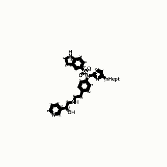 CCCCCCCc1csc(N(c2ccc(CCNCC(O)c3cccnc3)cc2)S(=O)(=O)c2ccc3c(c2)CCN3)n1